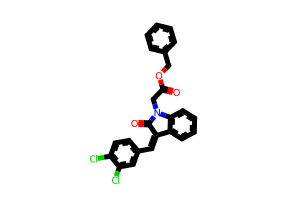 O=C(CN1C(=O)C(=Cc2ccc(Cl)c(Cl)c2)c2ccccc21)OCc1ccccc1